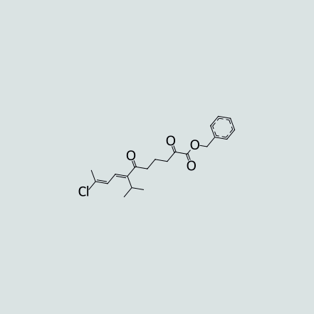 C/C(Cl)=C\C=C(\C(=O)CCCC(=O)C(=O)OCc1ccccc1)C(C)C